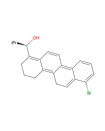 C[C](C)[C@@H](O)C1=c2ccc3c(c2CCC1)CC=c1c(Br)cccc1=3